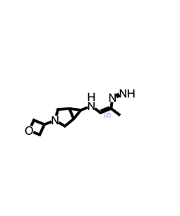 C/C(=C/NC1C2CN(C3COC3)CC21)N=N